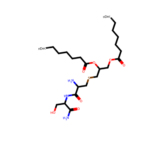 CCCCCCCCCCCCCCCC(=O)OCC(CSCC(N)C(=O)NC(CO)C(N)=O)OC(=O)CCCCCCCCCCCCCCC